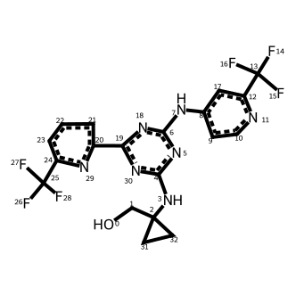 OCC1(Nc2nc(Nc3ccnc(C(F)(F)F)c3)nc(-c3cccc(C(F)(F)F)n3)n2)CC1